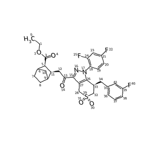 CCOC(=O)[C@@H]1C2CCC(C2)[C@@H]1CC(=O)c1nn(-c2ccc(F)cc2F)c2c1CS(=O)(=O)C[C@@H]2Cc1cccc(F)c1